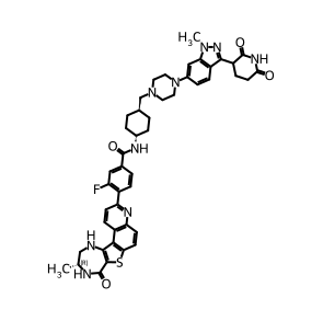 C[C@@H]1CNc2c(sc3ccc4nc(-c5ccc(C(=O)N[C@H]6CC[C@H](CN7CCN(c8ccc9c(C%10CCC(=O)NC%10=O)nn(C)c9c8)CC7)CC6)cc5F)ccc4c23)C(=O)N1